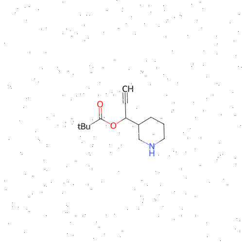 C#CC(OC(=O)C(C)(C)C)C1CCCNC1